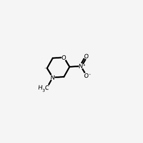 CN1[CH]COC([N+](=O)[O-])C1